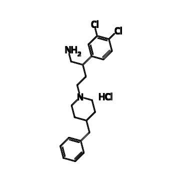 Cl.NCC(CCN1CCC(Cc2ccccc2)CC1)c1ccc(Cl)c(Cl)c1